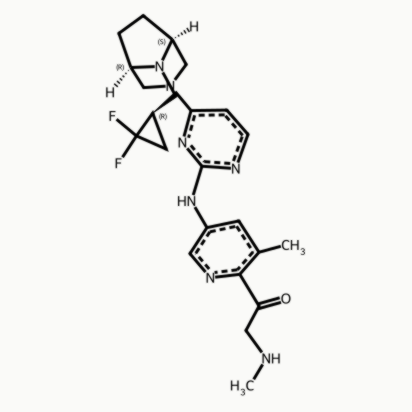 CNCC(=O)c1ncc(Nc2nccc(N3C[C@H]4CC[C@@H](C3)N4C[C@H]3CC3(F)F)n2)cc1C